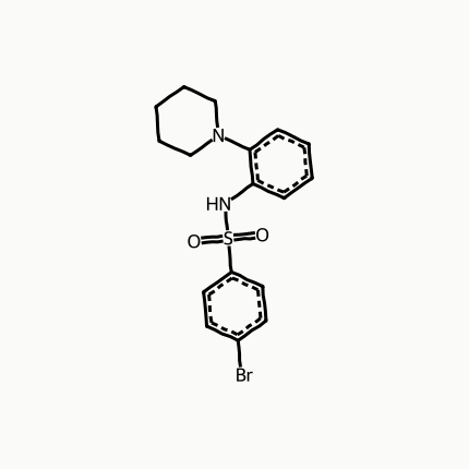 O=S(=O)(Nc1ccccc1N1CCCCC1)c1ccc(Br)cc1